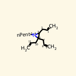 C=CCC1N(CCCCC)C1(CC=C)CC=C